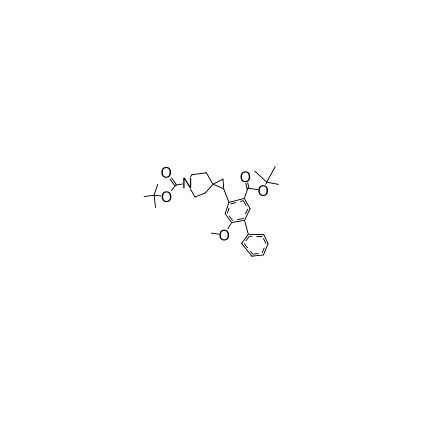 COc1cc(C2CC23CCN(C(=O)OC(C)(C)C)CC3)c(C(=O)OC(C)(C)C)cc1-c1ccccc1